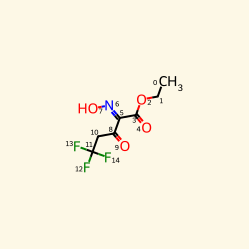 CCOC(=O)C(=NO)C(=O)CC(F)(F)F